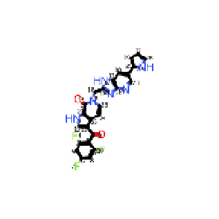 O=C(c1c(F)cc(F)cc1F)c1c[nH]c2c(=O)n(Cc3nc4ncc(-c5ccc[nH]5)cc4[nH]3)ccc12